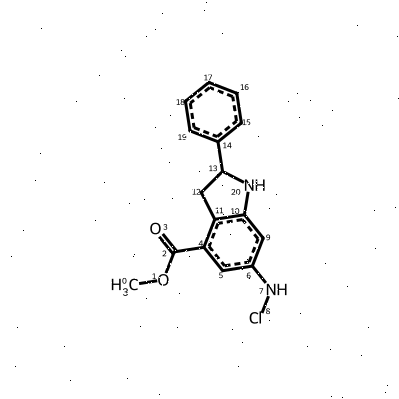 COC(=O)c1cc(NCl)cc2c1CC(c1ccccc1)N2